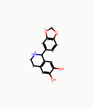 Oc1cc2c(cc1O)C(c1ccc3c(c1)OCO3)NCC2